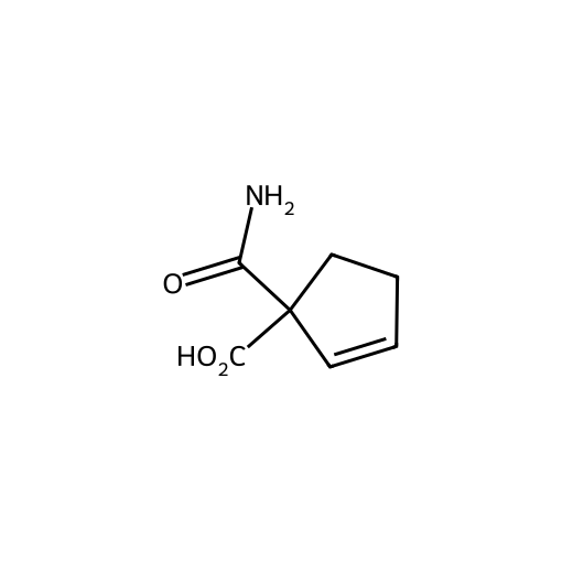 NC(=O)C1(C(=O)O)C=CCC1